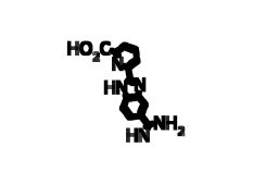 N=C(N)c1ccc2[nH]c(-c3cccc(C(=O)O)n3)nc2c1